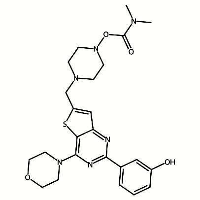 CN(C)C(=O)ON1CCN(Cc2cc3nc(-c4cccc(O)c4)nc(N4CCOCC4)c3s2)CC1